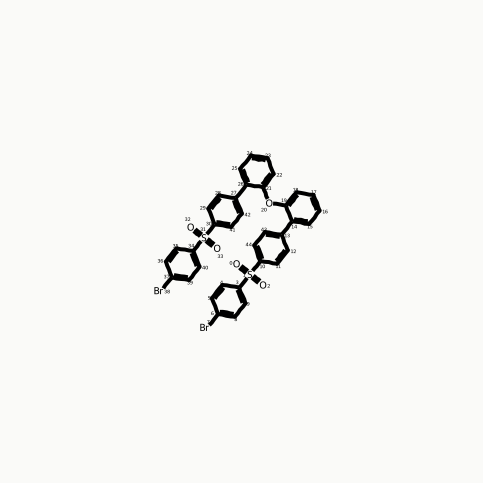 O=S(=O)(c1ccc(Br)cc1)c1ccc(-c2ccccc2Oc2ccccc2-c2ccc(S(=O)(=O)c3ccc(Br)cc3)cc2)cc1